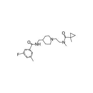 Cc1cc(F)cc(C(=O)NCC2CCN(CCN(C)C(=O)C3(C)CC3)CC2)c1